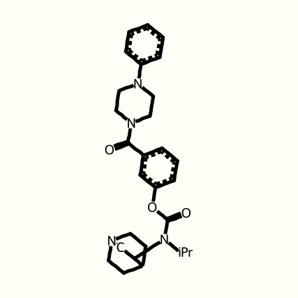 CC(C)N(C(=O)Oc1cccc(C(=O)N2CCN(c3ccccc3)CC2)c1)C1CN2CCC1CC2